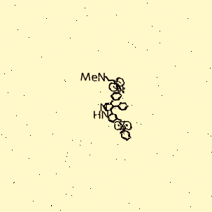 CNCCCS(=O)(=O)N(C)c1ccc(-c2cnc3[nH]c4ccc(CS(=O)(=O)c5ccccc5)cc4c3c2-c2ccccc2)cc1